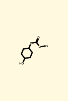 CC(C)OC(=O)OC1CCC(O)CC1